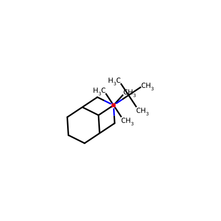 CC(C)(C)C1C2CCCC1CN(C(C)(C)C)C2